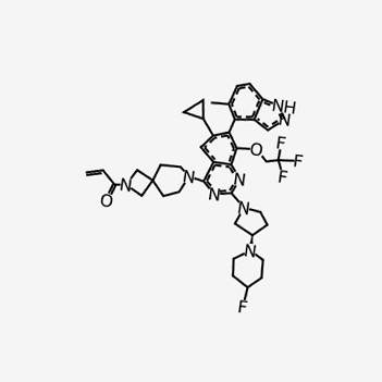 C=CC(=O)N1CC2(CCN(c3nc(N4CC[C@@H](N5CCC(F)CC5)C4)nc4c(OCC(F)(F)F)c(-c5c(C)ccc6[nH]ncc56)c(C5CC5)cc34)CC2)C1